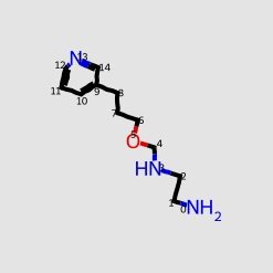 NCCNCOCCCc1cccnc1